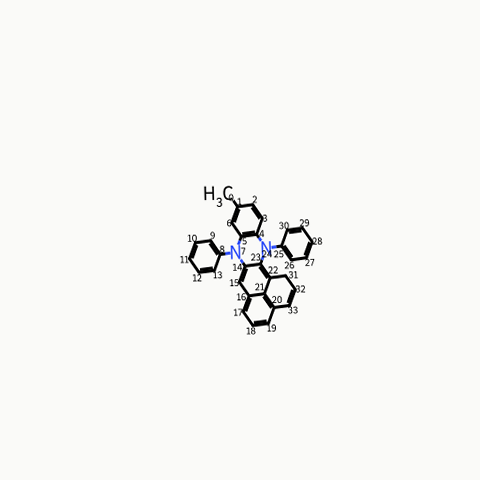 Cc1ccc2c(c1)N(c1ccccc1)c1cc3cccc4c3c(c1N2c1ccccc1)CC=C4